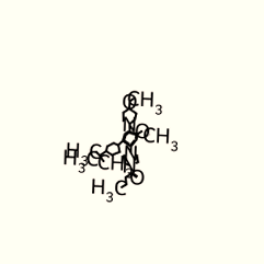 CCCC(=O)N1CCN(c2cc(OC)c(N3CCC(OC)CC3)cc2C2CCC(C(C)(C)C)CC2)CC1